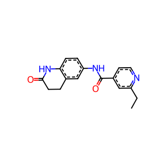 CCc1cc(C(=O)Nc2ccc3c(c2)CCC(=O)N3)ccn1